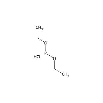 CCO[P]OCC.Cl